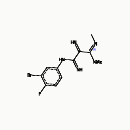 C/N=C(/NC)C(=N)C(=N)Nc1ccc(F)c(Br)c1